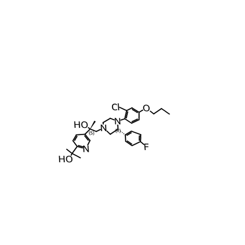 CCCOc1ccc(N2CCN(C[C@@](C)(O)c3ccc(C(C)(C)O)nc3)C[C@H]2c2ccc(F)cc2)c(Cl)c1